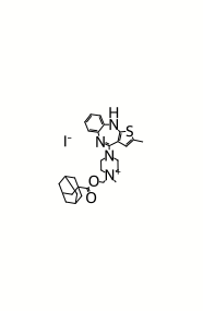 Cc1cc2c(s1)Nc1ccccc1N=C2N1CC[N+](C)(COC(=O)C23CC4CC(CC(C4)C2)C3)CC1.[I-]